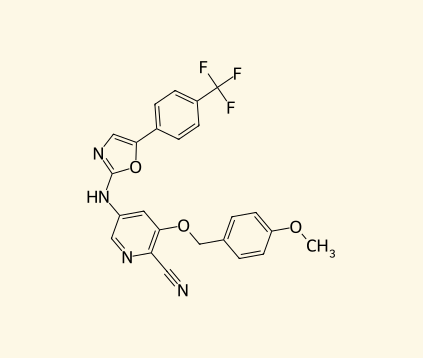 COc1ccc(COc2cc(Nc3ncc(-c4ccc(C(F)(F)F)cc4)o3)cnc2C#N)cc1